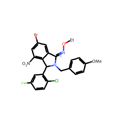 CCO/N=C1\c2cc(Br)cc([N+](=O)[O-])c2C(c2cc(F)ccc2Cl)N1Cc1ccc(OC)cc1